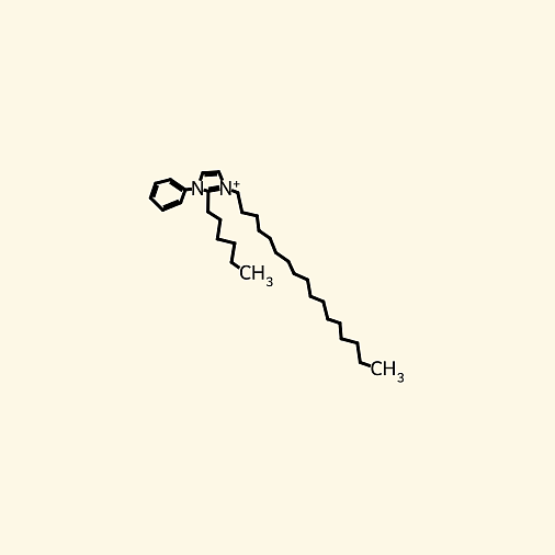 CCCCCCCCCCCCCCCCC[n+]1ccn(-c2ccccc2)c1CCCCCC